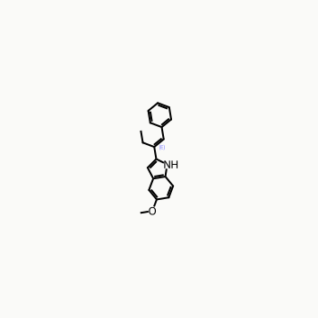 CC/C(=C\c1ccccc1)c1cc2cc(OC)ccc2[nH]1